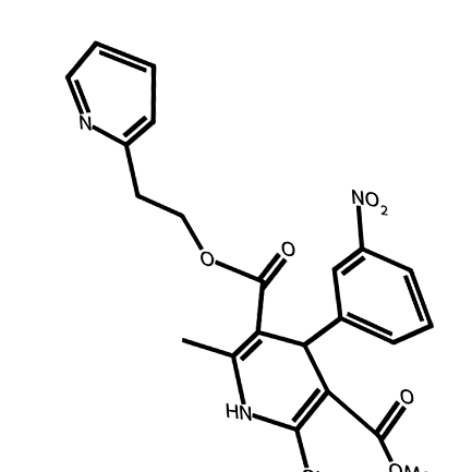 COC(=O)C1=C(O)NC(C)=C(C(=O)OCCc2ccccn2)C1c1cccc([N+](=O)[O-])c1